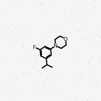 CC(C)c1cc(F)cc(N2CCOCC2)c1